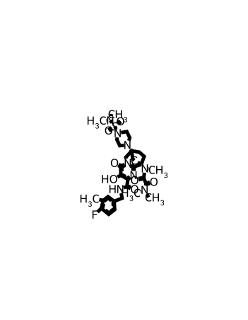 Cc1cc(CNC(=O)c2nc3n(c(=O)c2O)CC2(N4CCN(S(=O)(=O)N(C)C)CC4)CCC3(N(C)C(=O)C(=O)N(C)C)CC2)ccc1F